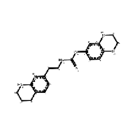 S=C(NCCc1ccc2c(n1)NCCC2)Nc1ccc2c(c1)OCCO2